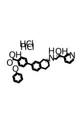 Cl.Cl.O=C(O)c1ccc(-c2ccc3c(c2)C[C@@H](NC[C@@H](O)c2cccnc2)CC3)cc1Oc1ccccc1